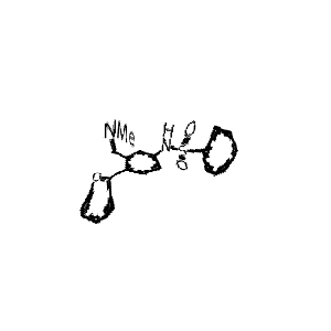 CNCc1cc(NS(=O)(=O)c2ccccc2)ccc1-c1ccco1